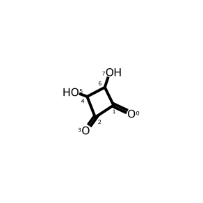 O=C1C(=O)C(O)C1O